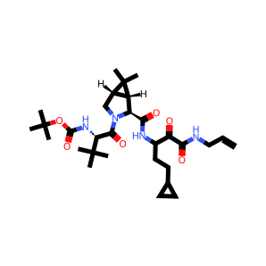 C=CCNC(=O)C(=O)C(CCC1CC1)NC(=O)[C@@H]1[C@@H]2[C@H](CN1C(=O)[C@@H](NC(=O)OC(C)(C)C)C(C)(C)C)C2(C)C